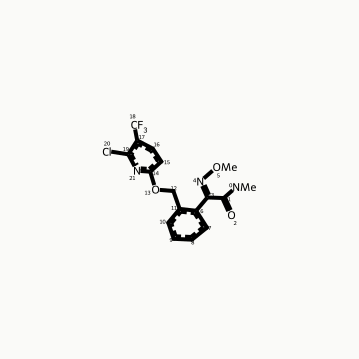 CNC(=O)C(=NOC)c1ccccc1COc1ccc(C(F)(F)F)c(Cl)n1